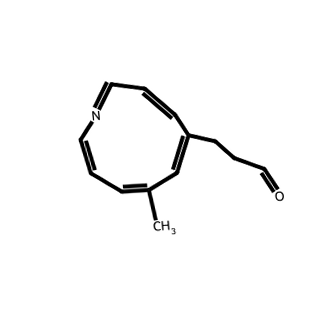 Cc1cccncccc(CCC=O)c1